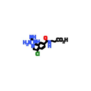 N=C(N)Nc1ncc(Cl)c2ccc(C(=O)NCCC(=O)O)cc12